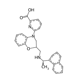 C[C@@H](NCC1CN(c2cccc(C(=O)O)n2)c2ccccc2O1)c1cccc2ccccc12